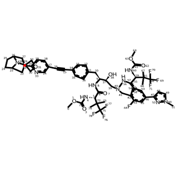 COC(=O)N[C@H](C(=O)N[C@@H](Cc1ccc(C#Cc2ccc(N3CC4CCC(C3)N4C3COC3)nc2)cc1)[C@@H](O)CN(Cc1c(F)cc(-c2ccn(C)n2)cc1F)NC(=O)[C@@H](NC(=O)OC)C(C)(C)C(F)(F)F)C(C)(C)C(F)(F)F